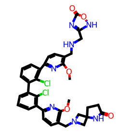 COc1nc(-c2cccc(-c3cccc(-c4ccc(CN5CC6(CCC(=O)N6)C5)c(OC)n4)c3Cl)c2Cl)ccc1CNCc1nc(=O)o[nH]1